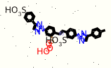 Cc1ccc(-c2cnn(-c3ccc(/C=C/c4ccc(-n5ncc(-c6ccc(S(=O)(=O)O)cc6)n5)cc4SOOO)c(S(=O)(=O)O)c3)n2)cc1